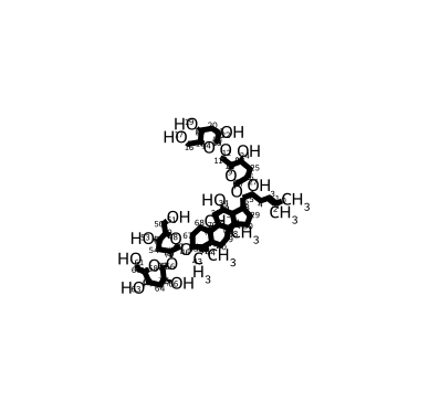 CC(C)=CCCC(O[C@@H]1OC(CO[C@@H]2OC(CO)[C@@H](O)CC2O)[C@@H](O)CC1O)C1CCC2C1[C@H](O)CC1[C@@]2(C)CCC2C(C)(C)[C@@H](O[C@@H]3OC(CO)[C@@H](O)C[C@@H]3O[C@@H]3OC(CO)[C@@H](O)C[C@@H]3O)CC[C@@]21C